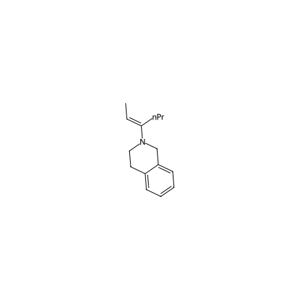 C/C=C(\CCC)N1CCc2ccccc2C1